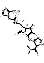 CCOC(=O)c1nnnn1CC(=O)N[C@H](C)[C@H]1C(=O)N2C(C(=O)O)=C(S[C@@H]3CNC(C(=O)N(C)C)C3)[C@H](C)[C@H]12